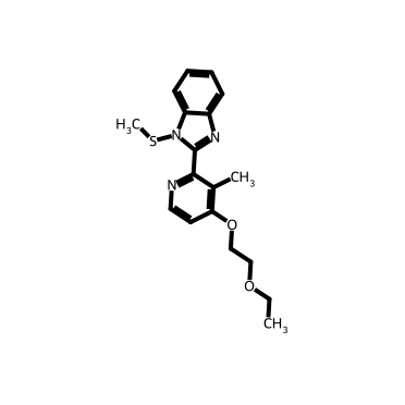 CCOCCOc1ccnc(-c2nc3ccccc3n2SC)c1C